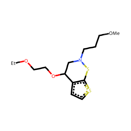 CCOCCOC1CN(CCCOC)Sc2sccc21